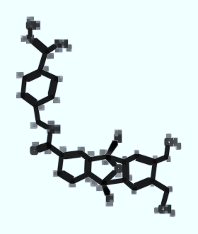 CCc1cc2c(cc1CC)[C@H]1O[C@@H]2c2cc(C(=O)NCc3ccc(C(N)=NO)cc3)ccc21